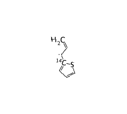 C=C[CH][14c]1cccs1